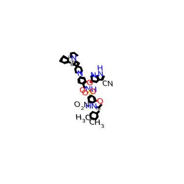 CC(C)c1ccccc1[C@@H]1CCCN1C1CC2(CCN(c3ccc(C(=O)NS(=O)(=O)c4cc5c(c([N+](=O)[O-])c4)N[C@@H](CC4CCC(C)(C)CC4)CO5)c(Oc4cnc5[nH]cc(C#N)c5c4)c3)CC2)C1